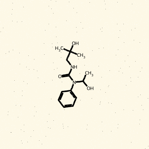 CC(O)N(C(=O)NCC(C)(C)O)c1ccccc1